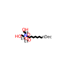 CCCCCCCCCCCCCCCCC(OCC)C(OCC)(OCC)N(CCO)CCO